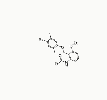 CCOc1cccc(NC(=O)CC)c1COc1cc(C)c(CC)cc1C